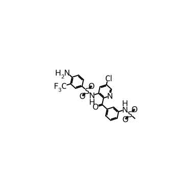 CS(=O)(=O)Nc1cccc(C(=O)c2ncc(Cl)cc2NS(=O)(=O)c2ccc(N)c(C(F)(F)F)c2)c1